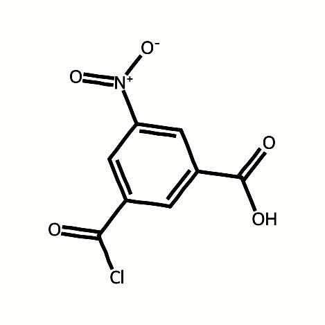 O=C(O)c1cc(C(=O)Cl)cc([N+](=O)[O-])c1